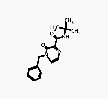 CC(C)(C)NC(=O)c1nccn(Cc2ccccc2)c1=O